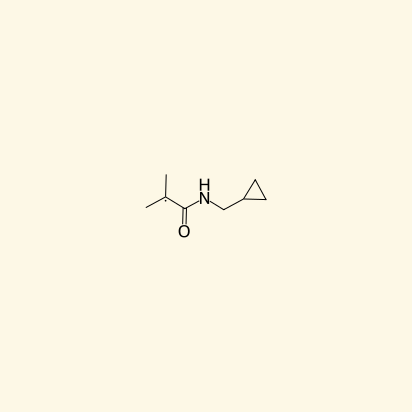 C[C](C)C(=O)NCC1CC1